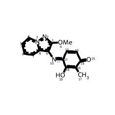 COc1nn2ccccc2c1/N=C1\C=CC(=O)C(C)=C1O